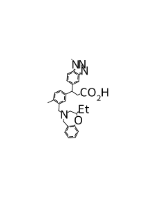 CC[C@@H]1CN(Cc2cc(C(CC(=O)O)c3ccc4c(c3)nnn4C)ccc2C)Cc2ccccc2O1